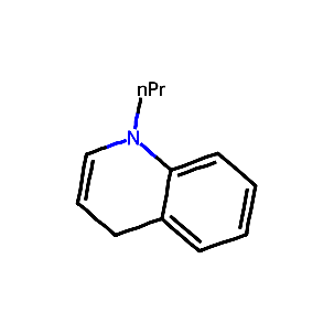 CCCN1C=CCc2ccccc21